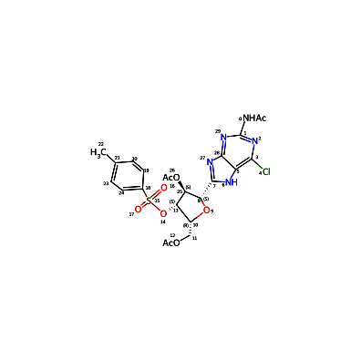 CC(=O)Nc1nc(Cl)c2[nH]c([C@@H]3O[C@H](COC(C)=O)[C@H](OS(=O)(=O)c4ccc(C)cc4)[C@H]3OC(C)=O)nc2n1